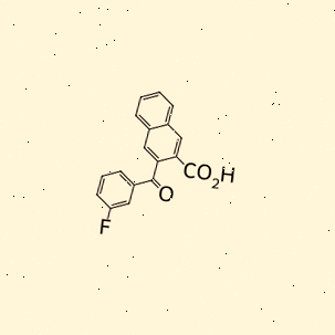 O=C(O)c1cc2ccccc2cc1C(=O)c1cccc(F)c1